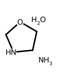 C1COCN1.N.O